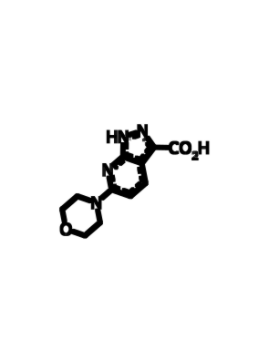 O=C(O)c1n[nH]c2nc(N3CCOCC3)ccc12